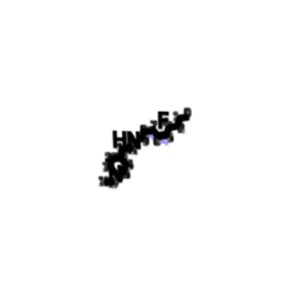 CCCC(F)/C=C\C=C/CNCCC1CCN(CC)CC1